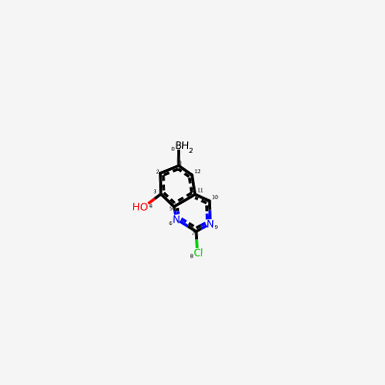 Bc1cc(O)c2nc(Cl)ncc2c1